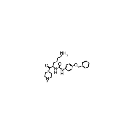 CN1CCN(C(=O)C(CCCCN)NC(=O)Nc2ccc(OCc3ccccc3)cc2)CC1